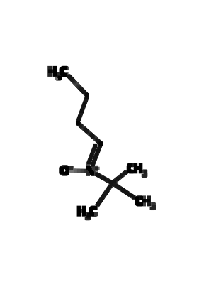 CCC/C=[N+](\[O-])C(C)(C)C